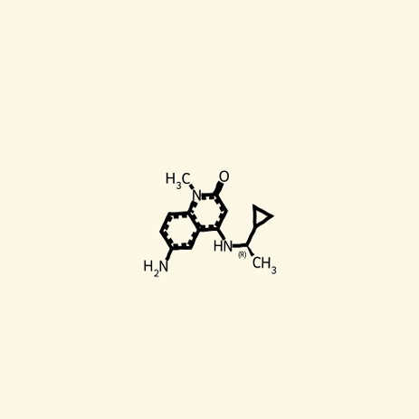 C[C@@H](Nc1cc(=O)n(C)c2ccc(N)cc12)C1CC1